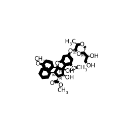 COC(=O)[C@H]1[C@@H](O)[C@@]2(O)c3c(OC)cc(O[C@@H]4O[C@@H]([C@H](O)CO)CO[C@H]4C)cc3O[C@@]2(c2ccc(OC)cc2)[C@@H]1c1ccccc1